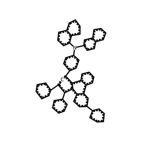 c1ccc(-c2ccc3c(c2)c2ccccc2c2c(-c4ccc(N(c5ccc6ccccc6c5)c5cccc6ccccc56)cc4)cc(-c4ccccc4)c(-c4ccccc4)c32)cc1